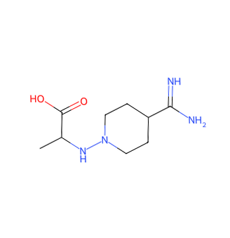 CC(NN1CCC(C(=N)N)CC1)C(=O)O